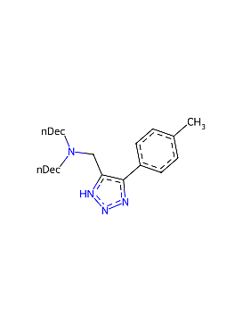 CCCCCCCCCCN(CCCCCCCCCC)Cc1[nH]nnc1-c1ccc(C)cc1